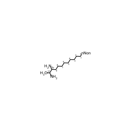 CCCCCCCCCCCCCCCCCCC(N)C(C)N